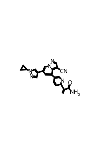 C=C(C(N)=O)c1ccc(-c2cc(-c3cnn(C4CC4)c3)cn3ncc(C#N)c23)cn1